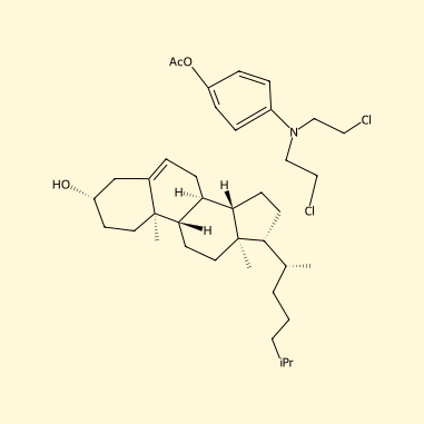 CC(=O)Oc1ccc(N(CCCl)CCCl)cc1.CC(C)CCC[C@@H](C)[C@H]1CC[C@H]2[C@@H]3CC=C4C[C@@H](O)CC[C@]4(C)[C@H]3CC[C@]12C